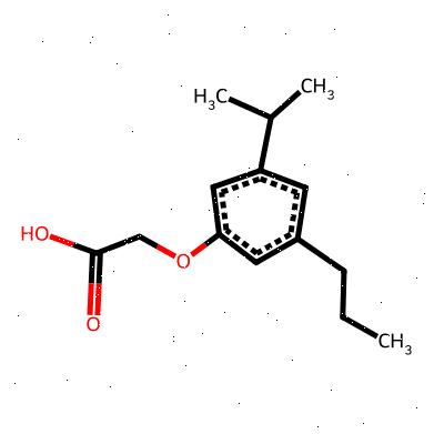 CCCc1cc(OCC(=O)O)cc(C(C)C)c1